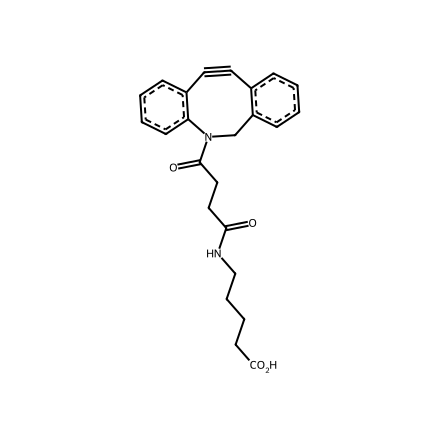 O=C(O)CCCCNC(=O)CCC(=O)N1Cc2ccccc2C#Cc2ccccc21